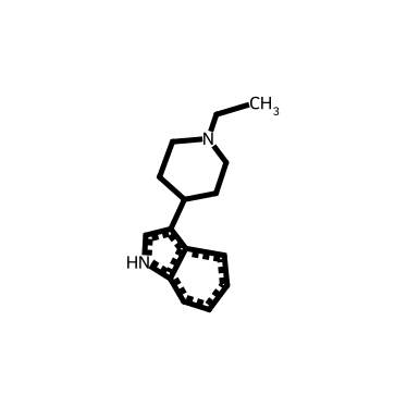 CCN1CCC(c2c[nH]c3ccccc23)CC1